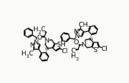 C=CC(=O)N1Cc2sc(Cl)cc2[C@@H](c2ccccc2-c2cn(Cc3cccc([SH]4C(Cl)=CC5=C4CN(C(=O)C=C)C[C@H]5c4ccccc4-c4cn(Cc5ccccc5)nc4C)c3)nc2C)C1